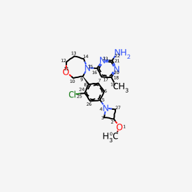 COC1CN(c2ccc([C@H]3COCCCN3c3cc(C)nc(N)n3)c(Cl)c2)C1